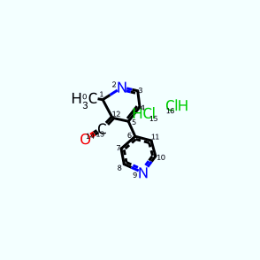 CC1N=CC=C(c2ccncc2)C1=C=O.Cl.Cl